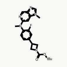 CN(c1cc2c(cn1)ncn2C)c1ccc(C2CN(C(=O)OC(C)(C)C)C2)cc1F